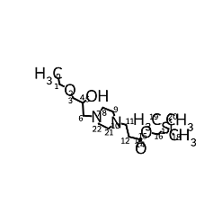 CCOCC(O)CN1CCN(CCC(=O)OC[Si](C)(C)C)CC1